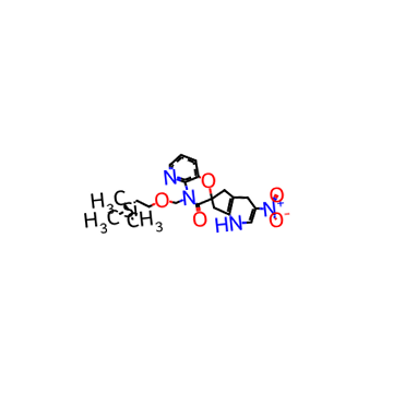 C[Si](C)(C)CCOCN1C(=O)C2(CC3=C(C2)NC=C([N+](=O)[O-])C3)Oc2cccnc21